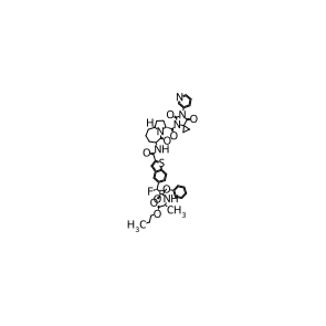 CCCOC(=O)[C@H](C)NP(=O)(Oc1ccccc1)[C@@H](F)c1ccc2sc(C(=O)N[C@H]3CCC[C@H]4CC[C@@H](C(=O)N5C(=O)N(c6cccnc6)C(=O)C56CC6)N4C3=O)cc2c1